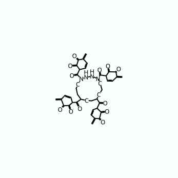 C=C1C=CC(C(=O)C2CCCN(C(=O)C3C=CC(=C)C(=O)C3=O)NNN(C(=O)C3C=CC(=C)C(=O)C3=O)CCCC(C(=O)C3C=CC(=C)C(=O)C3=O)CC2)C(=O)C1=O